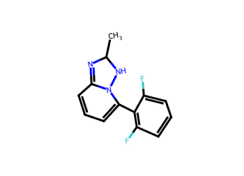 CC1N=C2C=CC=C(c3c(F)cccc3F)N2N1